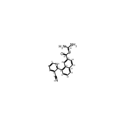 N#Cc1cccnc1-c1cccc2ccc(C(=O)N=C(N)N)cc12